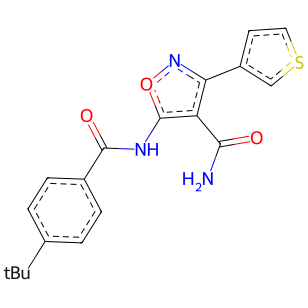 CC(C)(C)c1ccc(C(=O)Nc2onc(-c3ccsc3)c2C(N)=O)cc1